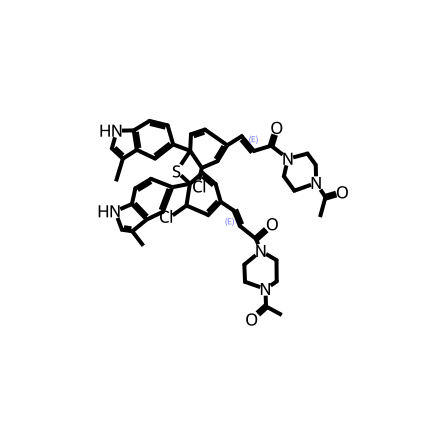 CC(=O)N1CCN(C(=O)/C=C/C2=CC(Cl)C(SC3(c4ccc5[nH]cc(C)c5c4)C=CC(/C=C/C(=O)N4CCN(C(C)=O)CC4)=CC3Cl)(c3ccc4[nH]cc(C)c4c3)C=C2)CC1